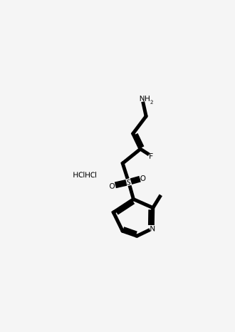 Cc1ncccc1S(=O)(=O)C/C(F)=C/CN.Cl.Cl